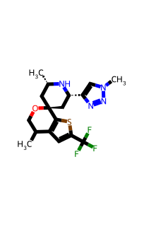 CC1CO[C@@]2(C[C@@H](c3cn(C)nn3)N[C@@H](C)C2)c2sc(C(F)(F)F)cc21